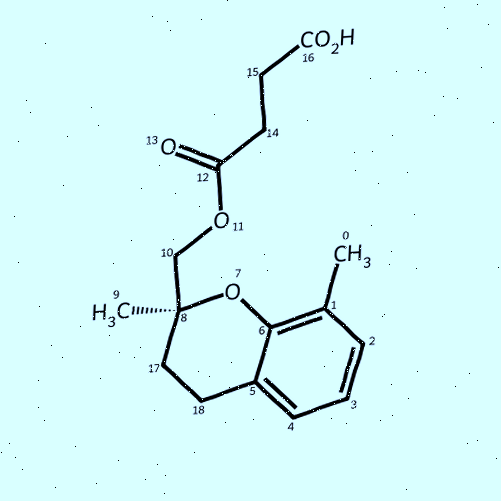 Cc1cccc2c1O[C@](C)(COC(=O)CCC(=O)O)CC2